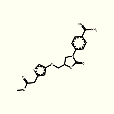 COC(=O)Cc1cc(OCC2CN(c3ccc(C(=N)N)cc3)C(=O)O2)cs1